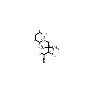 CC(C)(C[SiH]1CCCCO1)C(F)C(F)F